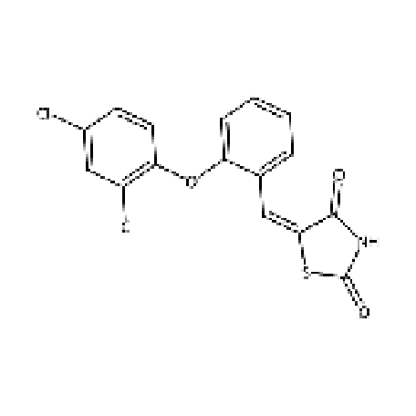 O=C1NC(=O)/C(=C\c2ccccc2Oc2ccc(Cl)cc2Cl)S1